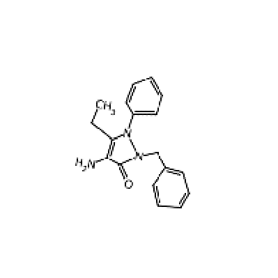 CCc1c(N)c(=O)n(Cc2ccccc2)n1-c1ccccc1